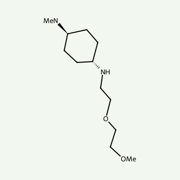 CN[C@H]1CC[C@H](NCCOCCOC)CC1